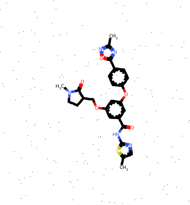 Cc1noc(-c2ccc(Oc3cc(OCC4CCN(C)C4=O)cc(C(=O)Nc4ncc(C)s4)c3)cc2)n1